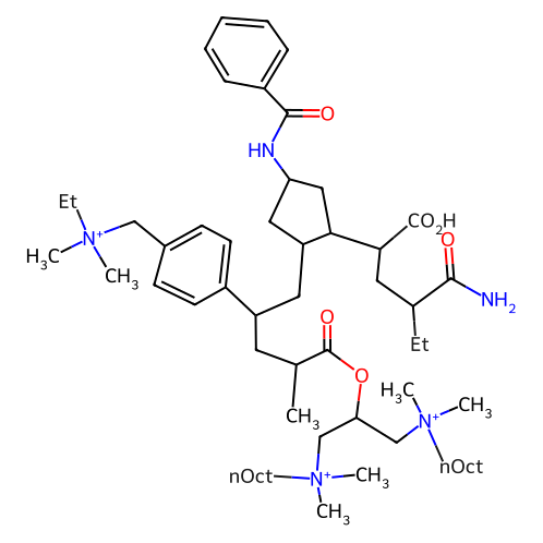 CCCCCCCC[N+](C)(C)CC(C[N+](C)(C)CCCCCCCC)OC(=O)C(C)CC(CC1CC(NC(=O)c2ccccc2)CC1C(CC(CC)C(N)=O)C(=O)O)c1ccc(C[N+](C)(C)CC)cc1